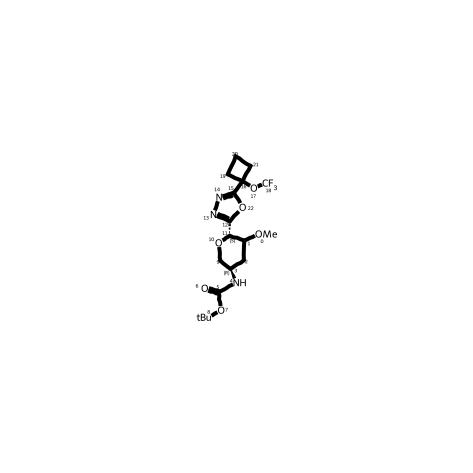 COC1C[C@@H](NC(=O)OC(C)(C)C)CO[C@@H]1c1nnc(C2(OC(F)(F)F)CCC2)o1